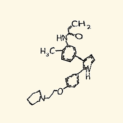 C=CC(=O)Nc1cc(-c2cc[nH]c2-c2ccc(OCCN3CCCC3)cc2)ccc1C